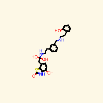 O=c1[nH]c2c(O)ccc(CC(O)(O)NCCc3cccc(CNCCc4ccccc4O)c3)c2s1